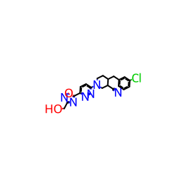 N#CC1CN(c2ccc(-c3nc(CO)no3)nn2)CCC1Cc1cccc(Cl)c1